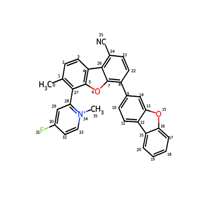 Cc1ccc2c(oc3c(-c4ccc5c(c4)oc4ccccc45)ccc(C#N)c32)c1-c1cc(F)cc[n+]1C